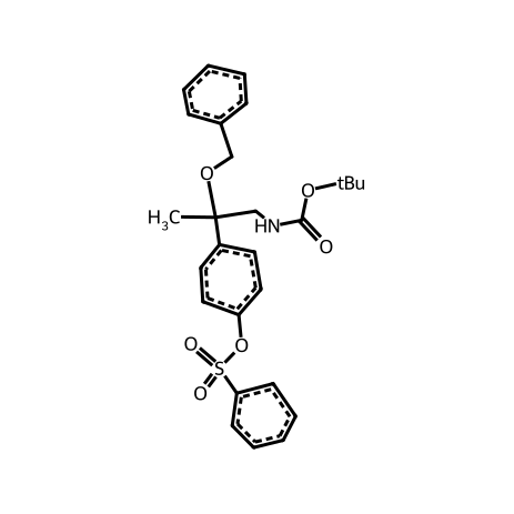 CC(C)(C)OC(=O)NCC(C)(OCc1ccccc1)c1ccc(OS(=O)(=O)c2ccccc2)cc1